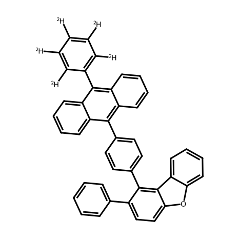 [2H]c1c([2H])c([2H])c(-c2c3ccccc3c(-c3ccc(-c4c(-c5ccccc5)ccc5oc6ccccc6c45)cc3)c3ccccc23)c([2H])c1[2H]